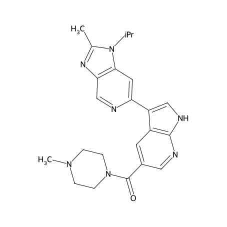 Cc1nc2cnc(-c3c[nH]c4ncc(C(=O)N5CCN(C)CC5)cc34)cc2n1C(C)C